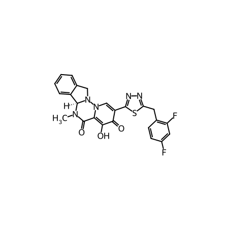 CN1C(=O)c2c(O)c(=O)c(-c3nnc(Cc4ccc(F)cc4F)s3)cn2N2Cc3ccccc3[C@H]12